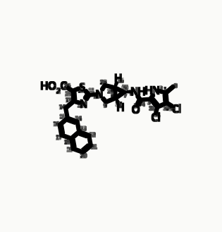 Cc1[nH]c(C(=O)N[C@H]2[C@@H]3CN(c4nc(Cc5ccc6ccccc6c5)c(C(=O)O)s4)C[C@@H]32)c(Cl)c1Cl